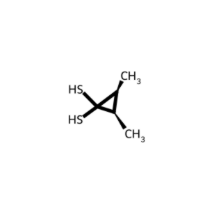 C[C@@H]1[C@H](C)C1(S)S